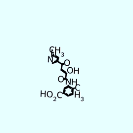 Cc1ccc(C(=O)O)cc1NC(=O)/C(O)=C/C(=O)c1cnn(C)c1